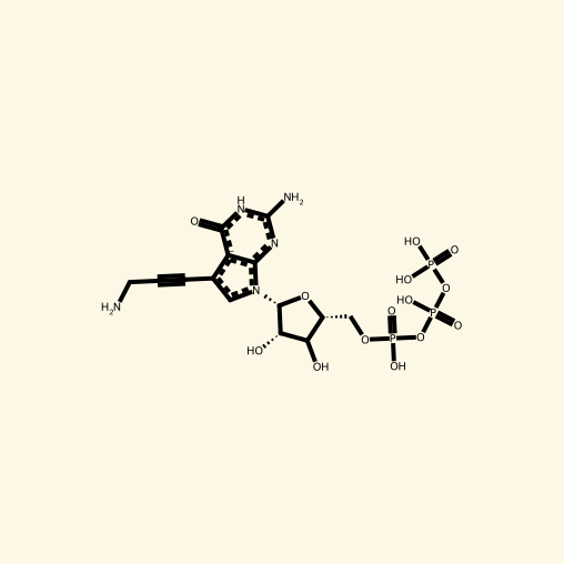 NCC#Cc1cn([C@@H]2O[C@H](COP(=O)(O)OP(=O)(O)OP(=O)(O)O)C(O)[C@@H]2O)c2nc(N)[nH]c(=O)c12